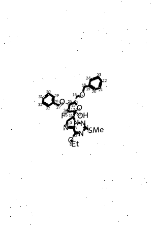 CCOC1=NC(SC)=NN2C1=NCC2[C@]1(O)O[C@H](COCc2ccccc2)[C@@H](OCc2ccccc2)[C@H]1F